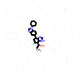 C/C=C(\O)c1c(F)cc(-c2ccc3c(c2)ncn3C2CCCCC2)c2nc[nH]c12